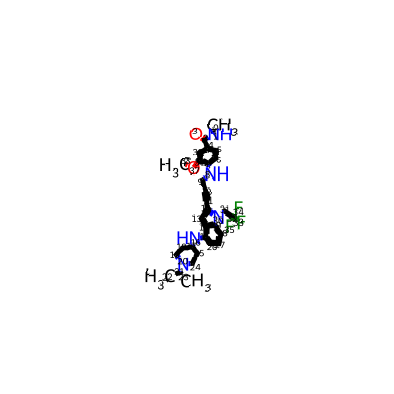 CNC(=O)c1ccc(NCC#Cc2cc3c(NC4CCN(C(C)C)CC4)cccc3n2CC(F)(F)F)c(OC)c1